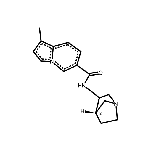 Cc1ccn2cc(C(=O)NC3CN4CC[C@H]3C4)ccc12